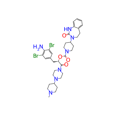 CN1CCC(N2CCN(C(=O)[C@@H](Cc3cc(Br)c(N)c(Br)c3)OC(=O)N3CCC(N4CCc5ccccc5NC4=O)CC3)CC2)CC1